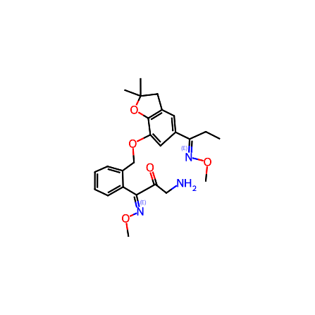 CC/C(=N\OC)c1cc2c(c(OCc3ccccc3/C(=N\OC)C(=O)CN)c1)OC(C)(C)C2